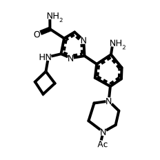 CC(=O)N1CCN(c2ccc(N)c(-c3ncc(C(N)=O)c(NC4CCC4)n3)c2)CC1